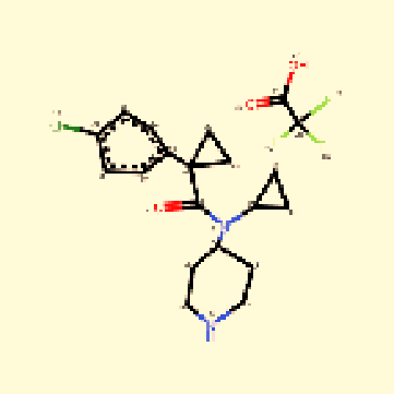 O=C(N(C1CCNCC1)C1CC1)C1(c2ccc(Cl)cc2)CC1.O=C(O)C(F)(F)F